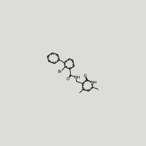 Cc1cc(C)c(CNC(=O)c2cccc(-c3ccccc3)c2Br)c(=O)[nH]1